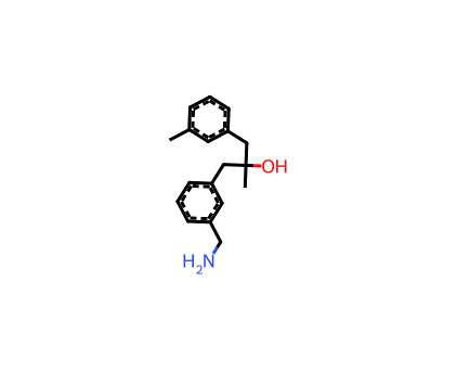 Cc1cccc(CC(C)(O)Cc2cccc(CN)c2)c1